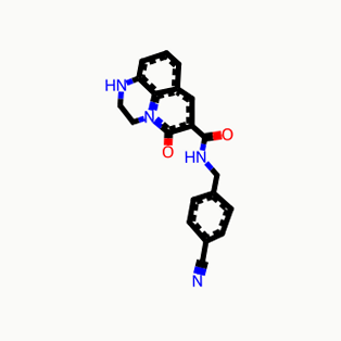 N#Cc1ccc(CNC(=O)c2cc3cccc4c3n(c2=O)CCN4)cc1